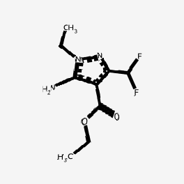 CCOC(=O)c1c(C(F)F)nn(CC)c1N